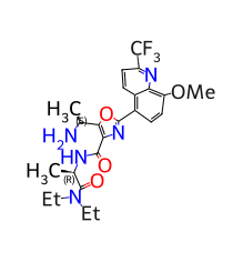 CCN(CC)C(=O)[C@@H](C)NC(=O)c1nc(-c2ccc(OC)c3nc(C(F)(F)F)ccc23)oc1[C@H](C)N